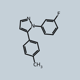 Cc1ccc(-c2ccnn2-c2cccc(F)c2)cc1